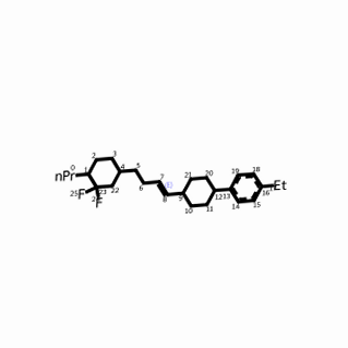 CCCC1CCC(CC/C=C/C2CCC(c3ccc(CC)cc3)CC2)CC1(F)F